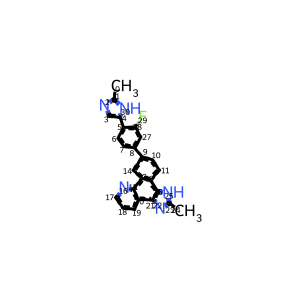 Cc1ncc(-c2ccc(-c3ccc4c(c3)c3ncccc3c3nc(C)[nH]c43)cc2F)[nH]1